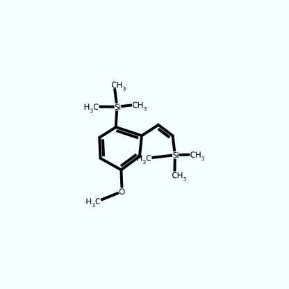 COc1ccc([Si](C)(C)C)c(/C=C\[Si](C)(C)C)c1